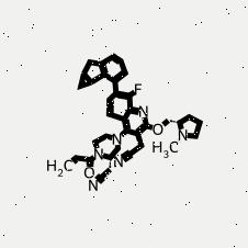 C=CC(=O)N1CCN(c2c(CC#N)c(OC[C@@H]3CCCN3C)nc3c(F)c(-c4cccc5c4C4CC4C5)ccc23)C[C@@H]1CC#N